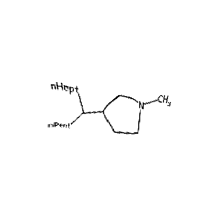 CCCCCCCC(CCCCC)C1CCN(C)C1